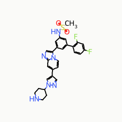 CS(=O)(=O)Nc1cc(-c2ccc(F)cc2F)cc(-c2cnc3cc(-c4cnn(C5CCNCC5)c4)ccn23)c1